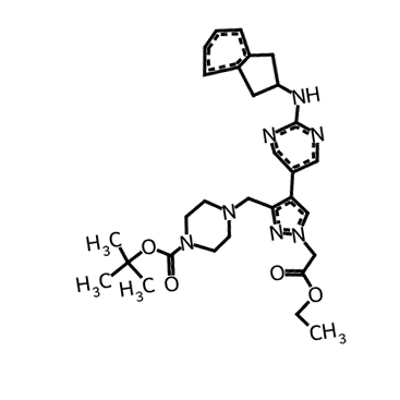 CCOC(=O)Cn1cc(-c2cnc(NC3Cc4ccccc4C3)nc2)c(CN2CCN(C(=O)OC(C)(C)C)CC2)n1